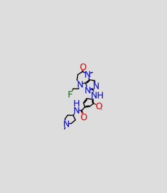 COc1cc(C(=O)NC2CCN(C)CC2)ccc1Nc1ncc2c(n1)N(CCF)CCC(=O)N2C